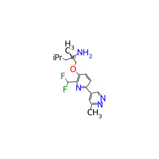 Cc1cc(-c2ccc(OC[C@@](C)(N)CC(C)C)c(C(F)F)n2)cnn1